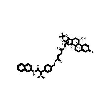 CN(C)C(C(=O)Nc1ccc2ccccc2c1)c1ccc(COC(=O)CCC(=O)OCC(=O)[C@@]23OC(C)(C)O[C@@H]2C[C@H]2[C@@H]4CCC5=CC(=O)C=C[C@]5(C)[C@@]4(F)[C@@H](O)C[C@@]23C)cc1